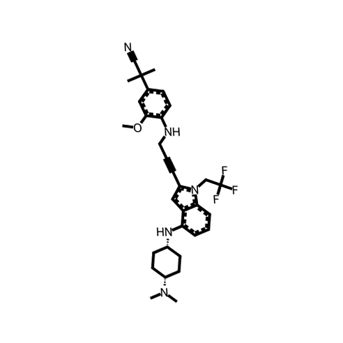 COc1cc(C(C)(C)C#N)ccc1NCC#Cc1cc2c(N[C@H]3CC[C@@H](N(C)C)CC3)cccc2n1CC(F)(F)F